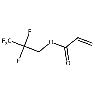 C=CC(=O)OCC(F)(F)C(F)(F)F